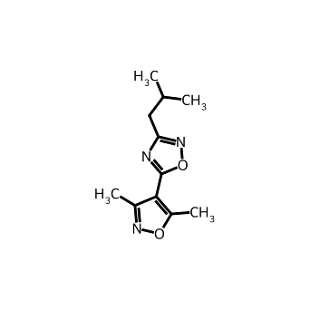 Cc1noc(C)c1-c1nc(CC(C)C)no1